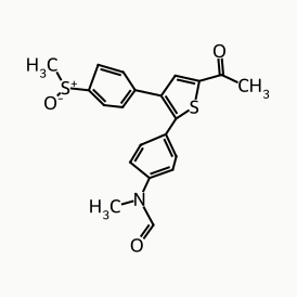 CC(=O)c1cc(-c2ccc([S+](C)[O-])cc2)c(-c2ccc(N(C)C=O)cc2)s1